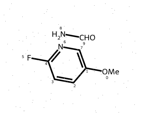 COc1ccc(F)nc1.NC=O